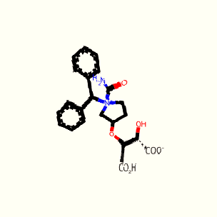 NC(=O)[N+]1(C(c2ccccc2)c2ccccc2)CCC(OC(C(=O)O)[C@H](O)C(=O)[O-])C1